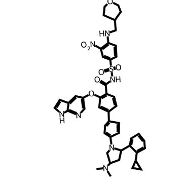 CN(C)C1CC(c2ccccc2C2CC2)N(c2ccc(-c3ccc(C(=O)NS(=O)(=O)c4ccc(NCC5CCOCC5)c([N+](=O)[O-])c4)c(Oc4cnc5[nH]ccc5c4)c3)cc2)C1